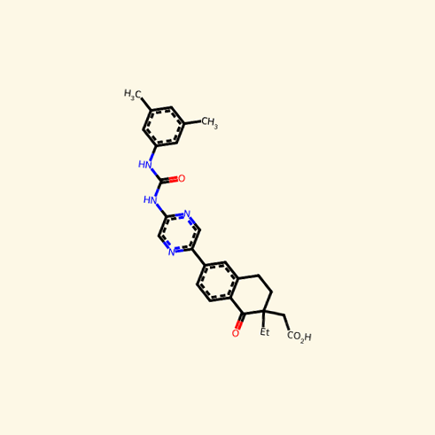 CCC1(CC(=O)O)CCc2cc(-c3cnc(NC(=O)Nc4cc(C)cc(C)c4)cn3)ccc2C1=O